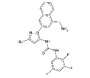 CC(C)(C)c1cc(NC(=O)Nc2cc(F)cc(F)c2F)n(-c2cc(CN)c3ccccc3c2)n1